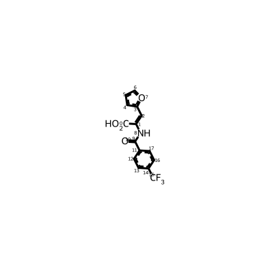 O=C(O)/C(=C\c1ccco1)NC(=O)c1ccc(C(F)(F)F)cc1